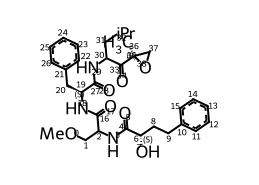 COCC(NC(=O)[C@@H](O)CCc1ccccc1)C(=O)N[C@@H](Cc1ccccc1)C(=O)NC(CC(C)C)C(=O)[C@@]1(C)CO1